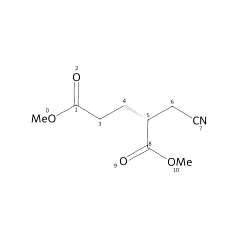 COC(=O)CC[C@H](CC#N)C(=O)OC